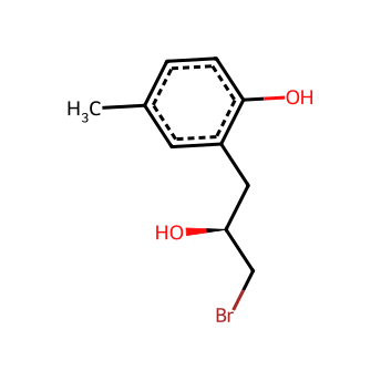 Cc1ccc(O)c(C[C@H](O)CBr)c1